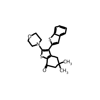 CC1(C)CC(=O)c2sc(N3CCOCC3)c(-c3cc4ccccc4s3)c2C1